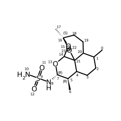 CC1CCC2[C@@H](C)[C@H](NS(N)(=O)=O)OC3O[C@]4(C)CCC1C32OO4